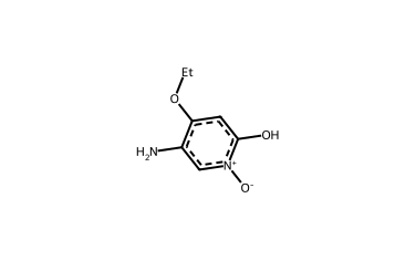 CCOc1cc(O)[n+]([O-])cc1N